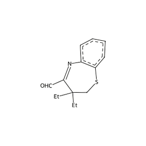 CCC1(CC)CSc2ccccc2N=C1C=O